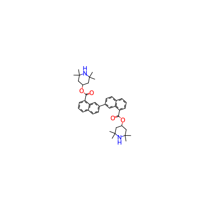 CC1(C)CC(OC(=O)c2cccc3ccc(-c4ccc5cccc(C(=O)OC6CC(C)(C)NC(C)(C)C6)c5c4)cc23)CC(C)(C)N1